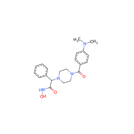 CN(C)c1ccc(C(=O)N2CCN(C(C(=O)NO)c3ccccc3)CC2)cc1